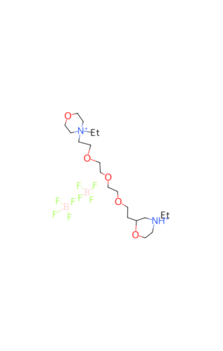 CC[NH+]1CCOC(CCOCCOCCOCC[N+]2(CC)CCOCC2)C1.F[B-](F)(F)F.F[B-](F)(F)F